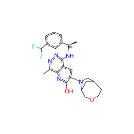 Cc1nnc(N[C@H](C)c2cccc(C(F)F)c2)c2cc(N3CC4CCOCC3C4)c(O)nc12